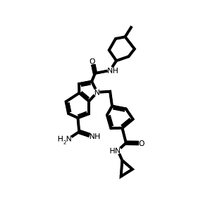 CC1CCC(NC(=O)c2cc3ccc(C(=N)N)cc3n2Cc2ccc(C(=O)NC3CC3)cc2)CC1